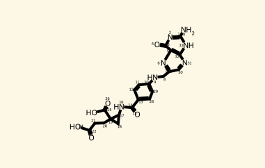 Nc1nc(=O)c2nc(CNc3ccc(C(=O)NC4CC4(CCC(=O)O)C(=O)O)cc3)cnc2[nH]1